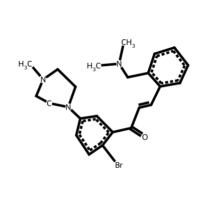 CN(C)Cc1ccccc1C=CC(=O)c1cc(N2CCN(C)CC2)ccc1Br